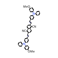 COc1ccc(N(c2ccccc2)c2ccc(/C=C/c3ccc4c(C#N)c(/C=C/c5ccc(N(c6ccccc6)c6ccc(OC)cc6)cc5)ccc4c3C#N)cc2)cc1